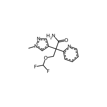 Cn1cc(C(COC(F)F)(C(N)=O)c2ccccn2)cn1